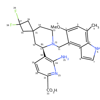 COc1cc(C)c2[nH]ccc2c1CN1CCC2(C[C@@H]1c1ccc(C(=O)O)nc1N)CC(F)(F)C2